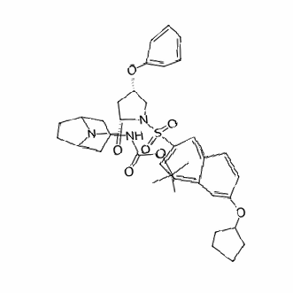 CC(C)(C)OC(=O)NC1CC2CCC(C1)N2C(=O)[C@@H]1C[C@H](Oc2ccccc2)CN1S(=O)(=O)c1ccc2cc(OC3CCCC3)ccc2c1